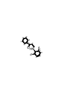 O=C(/C=C\Nc1c(F)c#ccc1F)c1ccccc1